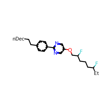 CCCCCCCCCCCCc1ccc(-c2ncc(OCC(F)CCCC(F)CC)cn2)cc1